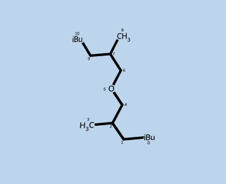 CCC(C)CC(C)COCC(C)CC(C)CC